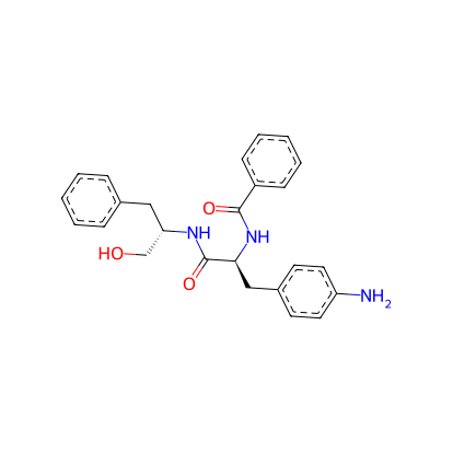 Nc1ccc(C[C@H](NC(=O)c2ccccc2)C(=O)N[C@H](CO)Cc2ccccc2)cc1